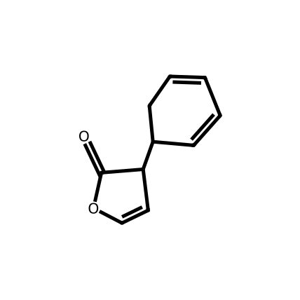 O=C1OC=CC1C1C=CC=CC1